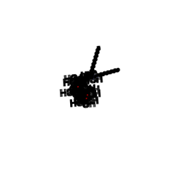 CCCCCCCCCCCCC/C=C/[C@@H](O)[C@H](CO[C@@H]1OC(CO)[C@@H](O[C@@H]2OC(CO)[C@H](O)[C@H](O[C@@H]3OC(CO)[C@@H](O)[C@H](O[C@@H]4OC(CO)[C@H](O)[C@H](O[C@H]5OC(CO)[C@H](O)[C@H](O)C5O)C4O[C@H]4OC(C)[C@@H](O)C(O)[C@@H]4O)C3NC(C)=O)C2O)[C@H](O)C1O)NC(=O)CCCCCCCCCCCCCCC